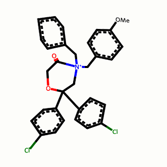 COc1ccc(C[N+]2(Cc3ccccc3)CC(c3ccc(Cl)cc3)(c3ccc(Cl)cc3)OCC2=O)cc1